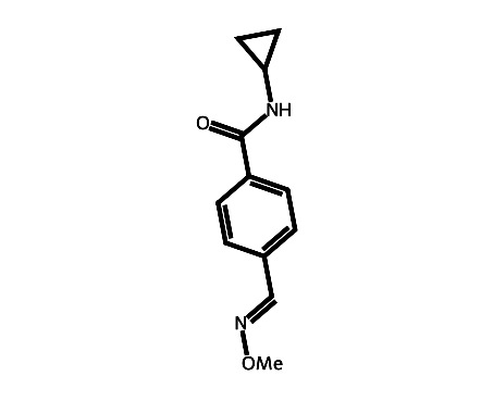 CON=Cc1ccc(C(=O)NC2CC2)cc1